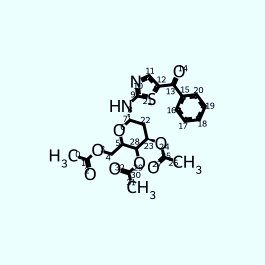 CC(=O)OCC1O[C@H](Nc2ncc(C(=O)c3ccccc3)s2)C[C@@H](OC(C)=O)C1OC(C)=O